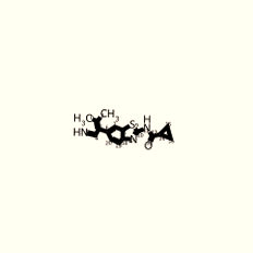 CC(C)=C(C=N)C1=CC2SC(NC(=O)C3CC3)=NC2C=C1